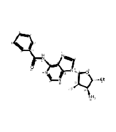 CC[C@H]1O[C@@H](n2cnc3c(NC(=O)c4ccccc4)ncnc32)[C@H](F)[C@@H]1N